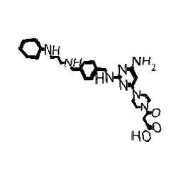 Nc1cc(N2CCN(C(=O)CC(=O)O)CC2)nc(NCc2ccc(CNCCCNC3CCCCC3)cc2)n1